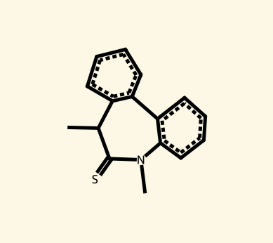 CC1C(=S)N(C)c2ccccc2-c2ccccc21